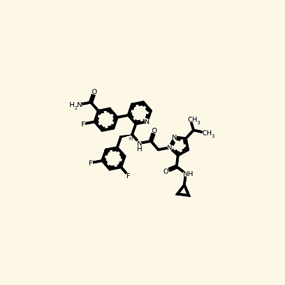 CC(C)c1cc(C(=O)NC2CC2)n(CC(=O)N[C@@H](Cc2cc(F)cc(F)c2)c2ncccc2-c2ccc(F)c(C(N)=O)c2)n1